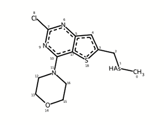 C[AsH]Cc1cc2nc(Cl)nc(N3CCOCC3)c2s1